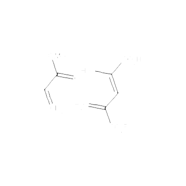 C=C(C=C(C)C(=O)O)C(=O)OCC.C=CC(=O)OC